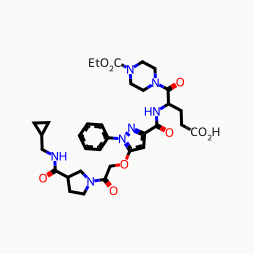 CCOC(=O)N1CCN(C(=O)C(CCC(=O)O)NC(=O)c2cc(OCC(=O)N3CCC(C(=O)NCC4CC4)C3)n(-c3ccccc3)n2)CC1